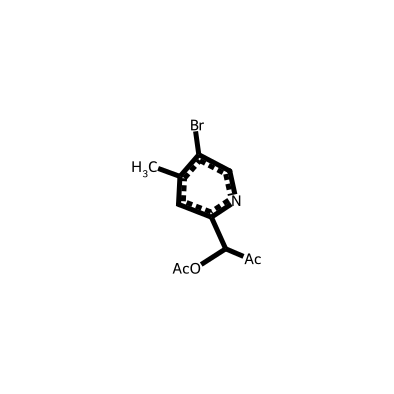 CC(=O)OC(C(C)=O)c1cc(C)c(Br)cn1